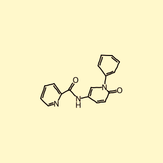 O=C(Nc1ccc(=O)n(-c2ccccc2)c1)c1ccccn1